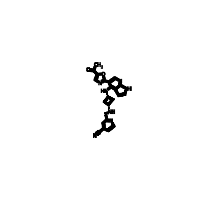 CC(=O)c1cnc(-c2cnc3[nH]ccc3c2N[C@H]2C[C@@H](NSc3cc(C#N)ccn3)C2)o1